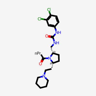 CCCC(=O)N1[C@@H](CCN2CCCCC2)CC[C@H]1CNC(=O)Nc1ccc(Cl)c(Cl)c1